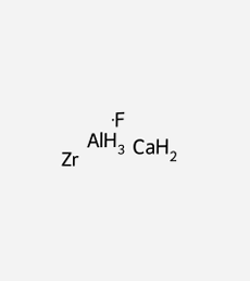 [AlH3].[CaH2].[F].[Zr]